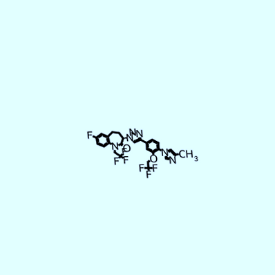 Cc1cn(-c2ccc(-c3cn([C@@H]4CCc5cc(F)ccc5N(CC(F)(F)F)C4=O)nn3)cc2OCC(F)(F)F)cn1